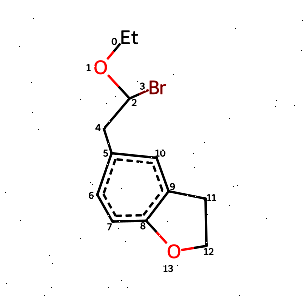 CCOC(Br)Cc1ccc2c(c1)CCO2